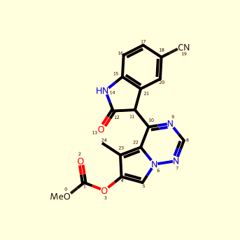 COC(=O)Oc1cn2ncnc(C3C(=O)Nc4ccc(C#N)cc43)c2c1C